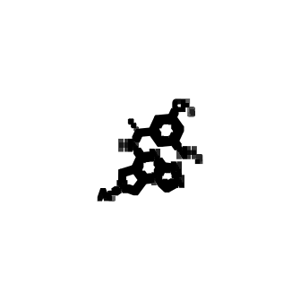 CC(=O)N1Cc2c(N[C@H](C)c3cc(N)cc(C(F)(F)F)c3)nc3nncn3c2C1